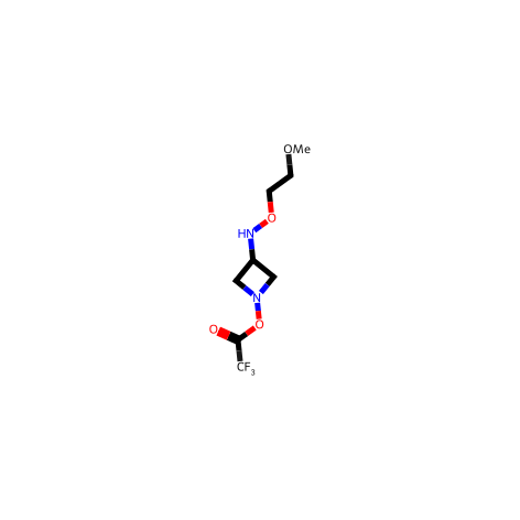 COCCONC1CN(OC(=O)C(F)(F)F)C1